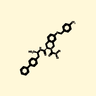 CCN(CC)C(=O)N1Cc2cc(OCc3ccc(C(F)(F)F)cc3)ccc2C[C@H]1C(=O)N[C@@H](Cc1ccc(-c2ccccc2)cc1)C(=O)O